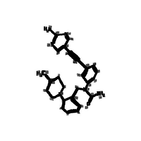 CN1CCN(c2ccccc2CN(C(N)=O)c2cccc(C#Cc3cnc(N)nc3)c2)CC1